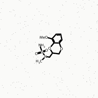 COc1cccc2c1OC(CN(C)S(N)(=O)=O)CO2